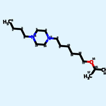 CCCCN1CCN(CCCCCCOC(C)C)CC1